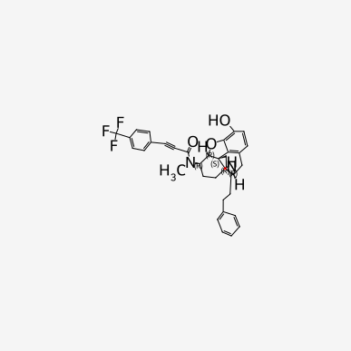 CN(C(=O)C#Cc1ccc(C(F)(F)F)cc1)[C@@H]1CC[C@H]2[C@H]3Cc4ccc(O)c5c4[C@@]2(CCN3CCc2ccccc2)[C@H]1O5